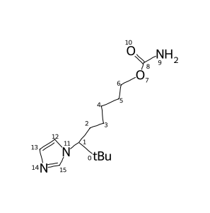 CC(C)(C)C(CCCCCOC(N)=O)n1ccnc1